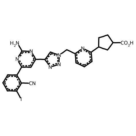 N#Cc1c(I)cccc1-c1cc(-c2cn(Cc3cccc(C4CCC(C(=O)O)C4)n3)nn2)nc(N)n1